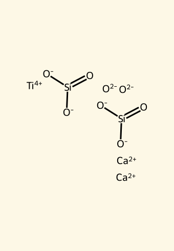 O=[Si]([O-])[O-].O=[Si]([O-])[O-].[Ca+2].[Ca+2].[O-2].[O-2].[Ti+4]